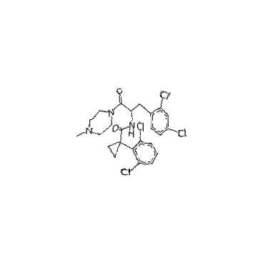 CN1CCN(C(=O)C(Cc2ccc(Cl)cc2Cl)NC(=O)C2(c3c(Cl)cccc3Cl)CC2)CC1